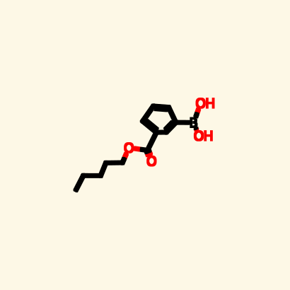 CCCCCOC(=O)c1cccc(B(O)O)c1